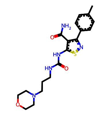 Cc1ccc(-c2nsc(NC(=O)NCCCN3CCOCC3)c2C(N)=O)cc1